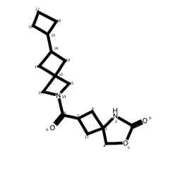 O=C1NC2(CO1)CC(C(=O)N1CC3(CC(C4CCC4)C3)C1)C2